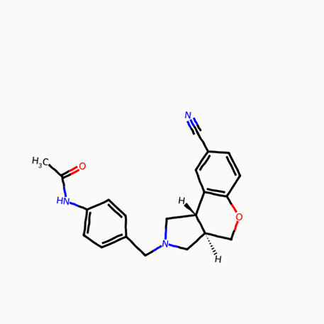 CC(=O)Nc1ccc(CN2C[C@@H]3COc4ccc(C#N)cc4[C@H]3C2)cc1